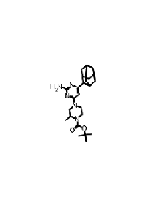 CC1CN(c2cc(C3C4CC5CC(C4)CC3C5)nc(N)n2)CCN1C(=O)OC(C)(C)C